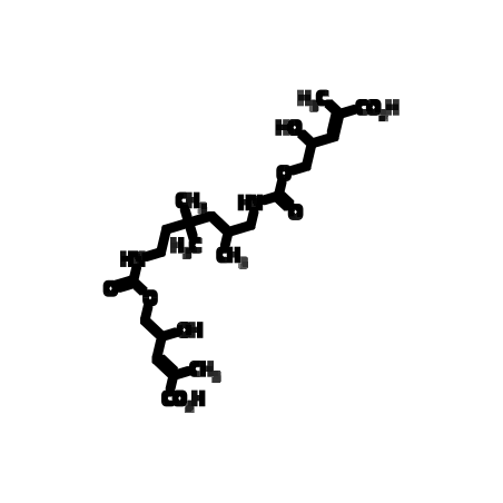 CC(=CC(O)COC(=O)NCCC(C)(C)CC(C)CNC(=O)OCC(O)C=C(C)C(=O)O)C(=O)O